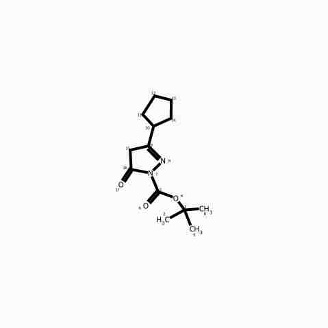 CC(C)(C)OC(=O)N1N=C(C2CCCC2)CC1=O